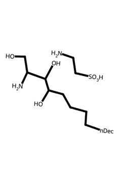 CCCCCCCCCCCCCCC(O)C(O)C(N)CO.NCCS(=O)(=O)O